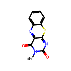 CCCn1c(=O)nc2sc3ccccc3nc-2c1=O